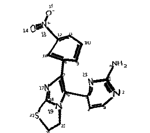 Nc1nccc(-c2c(-c3cccc([N+](=O)[O-])c3)nc3n2CCS3)n1